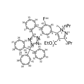 CCC[N+]1(C)N=C(C(C)C)C(C(=O)OCC)=C1c1ccc(-c2ccccc2-c2nnn(C(c3ccccc3)(c3ccccc3)c3ccccc3)n2)c(F)c1